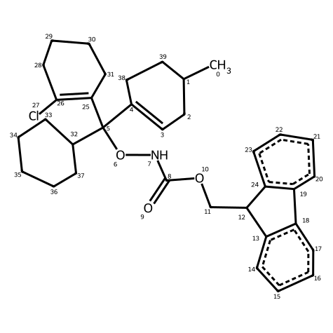 CC1CC=C(C(ONC(=O)OCC2c3ccccc3-c3ccccc32)(C2=C(Cl)CCCC2)C2CCCCC2)CC1